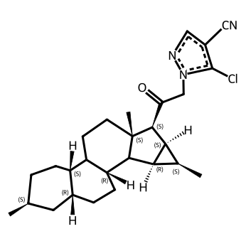 C[C@H]1CC[C@@H]2C3CC[C@@]4(C)C([C@@H]3CC[C@@H]2C1)[C@@H]1[C@H](C)[C@@H]1[C@@H]4C(=O)Cn1ncc(C#N)c1Cl